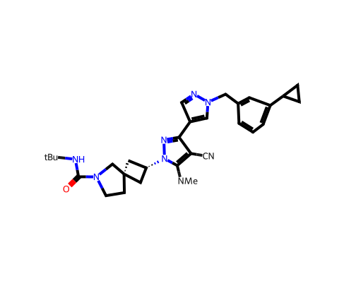 CNc1c(C#N)c(-c2cnn(Cc3cccc(C4CC4)c3)c2)nn1[C@H]1C[C@@]2(CCN(C(=O)NC(C)(C)C)C2)C1